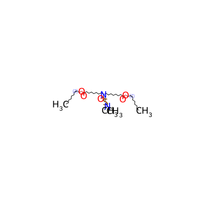 CCCCCC/C=C\COC(=O)CCCCCCCN(CCCCCCCC(=O)OC/C=C\CCCCCC)C(=O)CSCN(CC)CC